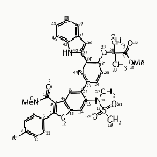 CNC(=O)c1c(-c2ccc(F)cc2)oc2cc(N(C)S(C)(=O)=O)c(-c3ccc(OC(C)(C)C(=O)OC)c(-c4cc5ccccc5[nH]4)n3)cc12